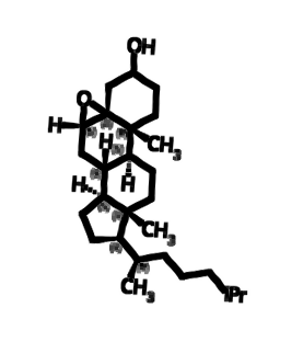 CC(C)CCC[C@@H](C)[C@H]1CC[C@H]2[C@@H]3C[C@@H]4O[C@@]45CC(O)CC[C@]5(C)[C@H]3CC[C@]12C